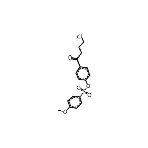 COc1ccc(S(=O)(=O)Oc2ccc(C(=O)CCCCl)cc2)cc1